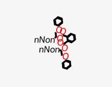 CCCCCCCCCC(COc1ccccc1)OC(=O)c1ccccc1C(=O)OC(CCCCCCCCC)COc1ccccc1